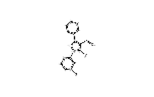 O=Cc1c(-c2ccccc2)nn(-c2cccc(Cl)c2)c1Br